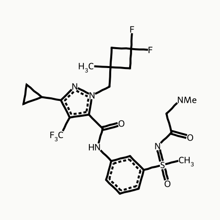 CNCC(=O)N=S(C)(=O)c1cccc(NC(=O)c2c(C(F)(F)F)c(C3CC3)nn2CC2(C)CC(F)(F)C2)c1